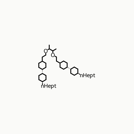 CCCCCCC[C@H]1CC[C@H](C2CCC(CCOC(C)C(C)OCCC3CCC([C@H]4CC[C@H](CCCCCCC)CC4)CC3)CC2)CC1